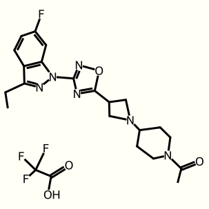 CCc1nn(-c2noc(C3CN(C4CCN(C(C)=O)CC4)C3)n2)c2cc(F)ccc12.O=C(O)C(F)(F)F